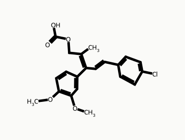 COc1ccc(C(C=Cc2ccc(Cl)cc2)=C(C)COC(=O)O)cc1OC